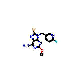 CCOc1nc(N)c2nc(Br)n(Cc3ccc(F)nc3)c2n1